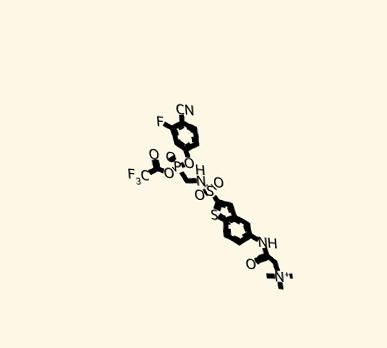 C[N+](C)(C)CC(=O)Nc1ccc2sc(S(=O)(=O)NCP(=O)(OC(=O)C(F)(F)F)Oc3ccc(C#N)c(F)c3)cc2c1